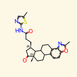 Cc1nc2c3c(ccc2o1)C1CC[C@]2(C)C(=O)C[C@@H](CCC(=O)Nc4ncc(C)s4)C2C1CC3